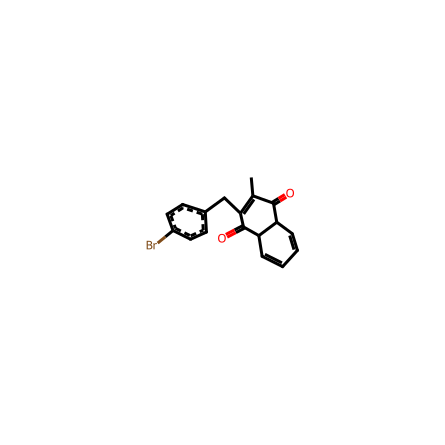 CC1=C(Cc2ccc(Br)cc2)C(=O)C2C=CC=CC2C1=O